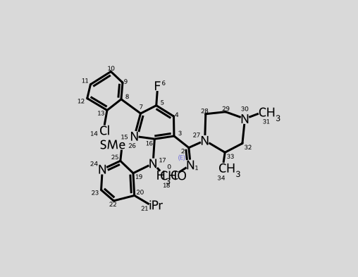 C/N=C(\c1cc(F)c(-c2ccccc2Cl)nc1N(C=O)c1c(C(C)C)ccnc1SC)N1CCN(C)CC1C